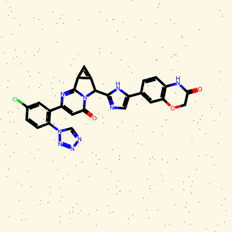 O=C1COc2cc(-c3cnc(C4C5=CC5c5nc(-c6cc(Cl)ccc6-n6cnnn6)cc(=O)n54)[nH]3)ccc2N1